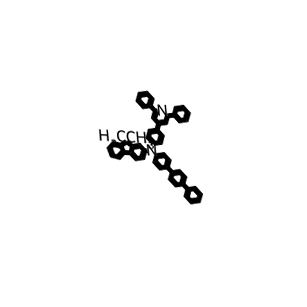 CC1(C)c2ccccc2-c2ccc(N(c3ccc(-c4ccc(-c5ccccc5)cc4)cc3)c3ccc(-c4cc(-c5ccccc5)nc(-c5ccccc5)c4)cc3)cc21